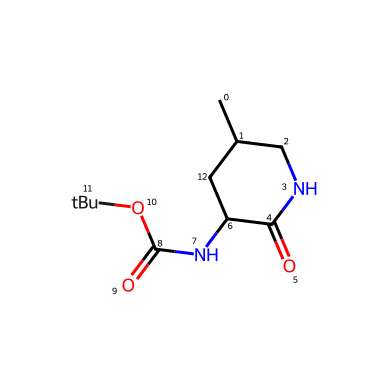 CC1CNC(=O)C(NC(=O)OC(C)(C)C)C1